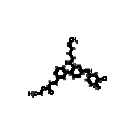 CCOC(=O)/C=C/c1cccc(-c2cnc(Nc3ccc(F)c(Cl)c3)nc2NCCCOC)c1